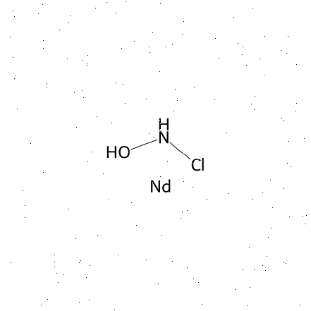 ONCl.[Nd]